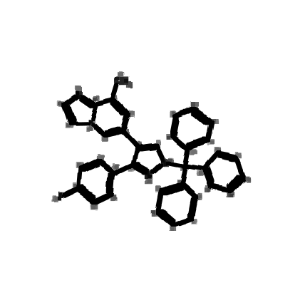 Cc1cc(-c2cn(C(c3ccccc3)(c3ccccc3)c3ccccc3)nc2-c2ccc(F)cc2)cn2ccnc12